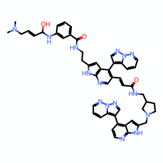 CN(C)C/C=C/C(O)Nc1cccc(C(=O)NCCc2cc3c(-c4cnn5ncccc45)c(/C=C/C(=O)NCC4CCN(Cc5cc6c(-c7cnn8ncccc78)ccnc6[nH]5)C4)cnc3[nH]2)c1